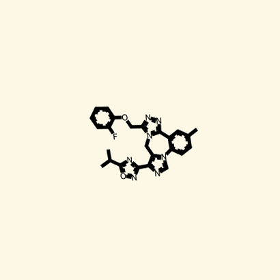 Cc1ccc2c(c1)-c1nnc(COc3ccccc3F)n1Cc1c(-c3noc(C(C)C)n3)ncn1-2